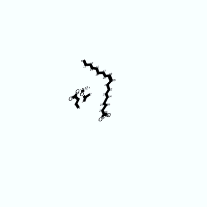 CC(C)[O][Al+2].CCCC(=O)[O-].CCCCCCCC/C=C\CCCCCCCC(=O)[O-]